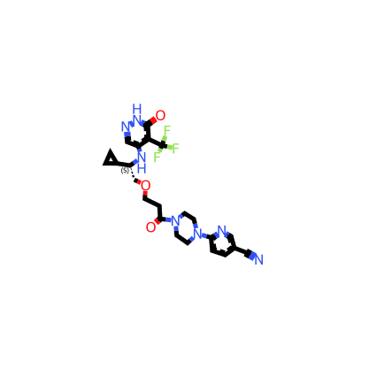 N#Cc1ccc(N2CCN(C(=O)CCOC[C@@H](Nc3cn[nH]c(=O)c3C(F)(F)F)C3CC3)CC2)nc1